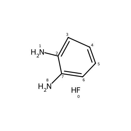 F.Nc1ccccc1N